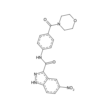 O=C(Nc1ccc(C(=O)N2CCOCC2)cc1)c1n[nH]c2ccc([N+](=O)[O-])cc12